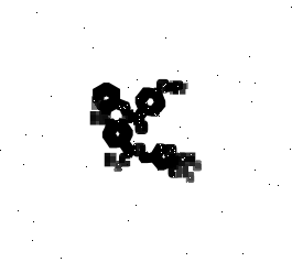 CC(C)OC1CCC(C(=O)N2Cc3cccnc3Nc3ccc(C(C)OCC4COC(C)(C)C4)cc32)CC1